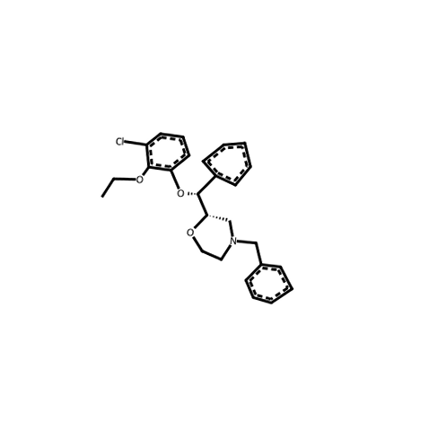 CCOc1c(Cl)cccc1O[C@H](c1ccccc1)[C@@H]1CN(Cc2ccccc2)CCO1